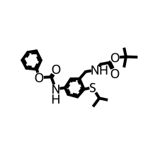 CC(C)Sc1ccc(NC(=O)Oc2ccccc2)cc1CNCC(=O)OC(C)(C)C